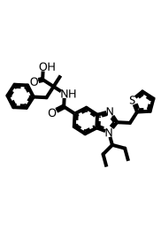 CCC(CC)n1c(Cc2cccs2)nc2cc(C(=O)NC(C)(Cc3ccccc3)C(=O)O)ccc21